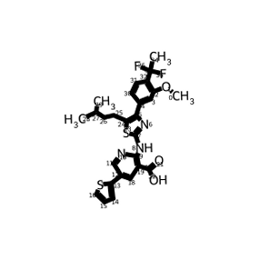 COc1cc(-c2nc(Nc3ncc(-c4cccs4)cc3C(=O)O)sc2CCC(C)C)ccc1C(C)(F)F